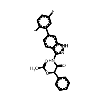 CC(=O)OC(C(=O)Nc1n[nH]c2cc(-c3cc(F)ccc3F)ccc12)c1ccccc1